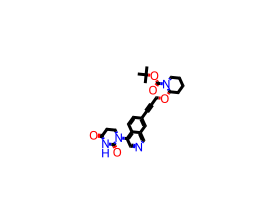 CC(C)(C)OC(=O)N1CCCCC1OCC#Cc1ccc2c(N3CCC(=O)NC3=O)cncc2c1